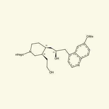 CCCCCCCN1CC[C@@H](C[C@H](O)Cc2ccnc3ccc(OC)cc23)[C@@H](CCO)C1